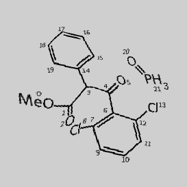 COC(=O)C(C(=O)c1c(Cl)cccc1Cl)c1ccccc1.O=[PH3]